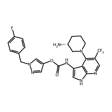 N[C@@H]1CCCN(c2c(C(F)(F)F)cnc3[nH]cc(NC(=O)Oc4cnn(Cc5ccc(F)cc5)c4)c23)C1